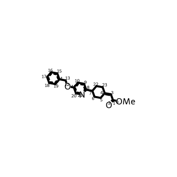 COC(=O)C=C1CCC(c2ccc(OCc3ccccc3)cn2)CC1